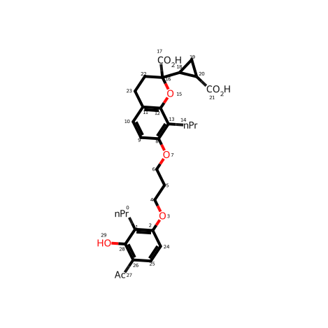 CCCc1c(OCCCOc2ccc3c(c2CCC)OC(C(=O)O)(C2CC2C(=O)O)CC3)ccc(C(C)=O)c1O